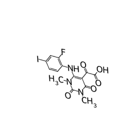 Cn1c(Nc2ccc(I)cc2F)c(C(=O)C(=O)O)c(=O)n(C)c1=O